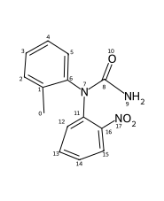 Cc1ccccc1N(C(N)=O)c1ccccc1[N+](=O)[O-]